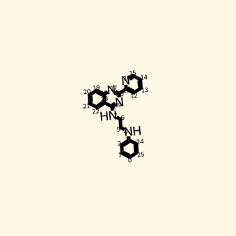 c1ccc(NCCNc2nc(-c3ccccn3)nc3ccccc23)cc1